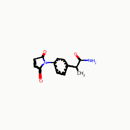 CC(C(N)=O)c1ccc(N2C(=O)C=CC2=O)cc1